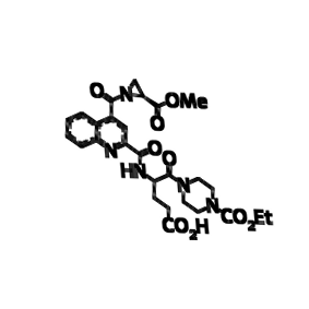 CCOC(=O)N1CCN(C(=O)C(CCC(=O)O)NC(=O)c2cc(C(=O)N3C[C@H]3C(=O)OC)c3ccccc3n2)CC1